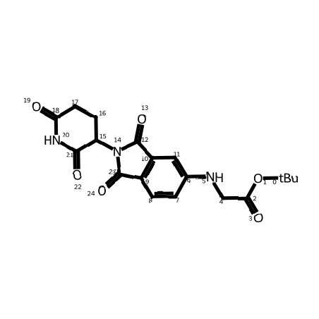 CC(C)(C)OC(=O)CNc1ccc2c(c1)C(=O)N(C1CCC(=O)NC1=O)C2=O